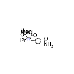 COC(=O)/C(Cc1ccc(C(N)=O)cc1)=C(/C(C)C)C(O)O